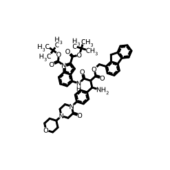 CC(C)(C)OC(=O)c1cc2c(NC(=O)C(C(=O)OCc3cccc4c3Cc3ccccc3-4)C(N)c3ccc(N4CCN(C5CCOCC5)CC4=O)cc3)cccc2n1C(=O)OC(C)(C)C